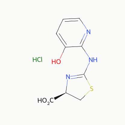 Cl.O=C(O)[C@@H]1CSC(Nc2ncccc2O)=N1